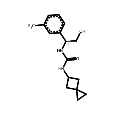 O=C(NC1CC2(CC2)C1)N[C@H](CO)c1cccc(C(F)(F)F)c1